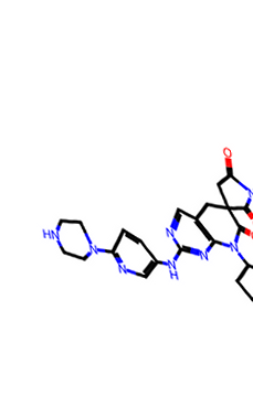 CN1C(=O)CC2(Cc3cnc(Nc4ccc(N5CCNCC5)nc4)nc3N(C3CCCC3)C2=O)C1=O